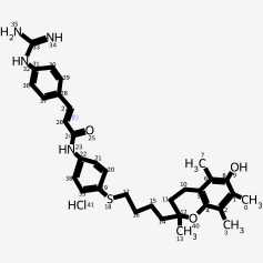 Cc1c(C)c2c(c(C)c1O)CCC(C)(CCCCSc1ccc(NC(=O)/C=C/c3ccc(NC(=N)N)cc3)cc1)O2.Cl